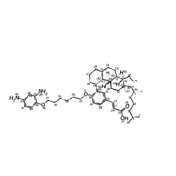 CC(C)CCC[C@@H](C)[C@H]1CC[C@H]2[C@@H]3CCC4CCCC(c5cc(/C=C/C(=O)O)ccc5OCCCCCCOc5ccc(N)cc5N)[C@]4(C)[C@H]3CC[C@]12C